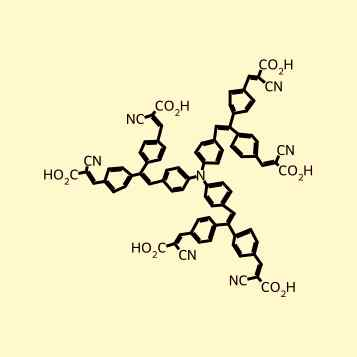 N#C/C(=C\c1ccc(C(=Cc2ccc(N(c3ccc(C=C(c4ccc(/C=C(\C#N)C(=O)O)cc4)c4ccc(/C=C(\C#N)C(=O)O)cc4)cc3)c3ccc(C=C(c4ccc(/C=C(\C#N)C(=O)O)cc4)c4ccc(/C=C(\C#N)C(=O)O)cc4)cc3)cc2)c2ccc(/C=C(\C#N)C(=O)O)cc2)cc1)C(=O)O